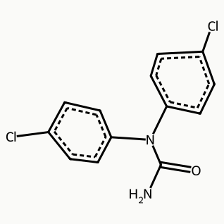 NC(=O)N(c1ccc(Cl)cc1)c1ccc(Cl)cc1